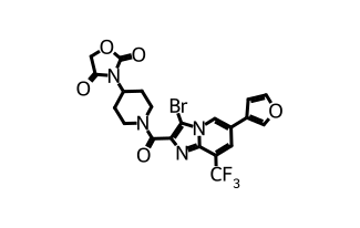 O=C(c1nc2c(C(F)(F)F)cc(-c3ccoc3)cn2c1Br)N1CCC(N2C(=O)COC2=O)CC1